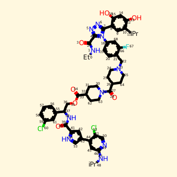 CCNC(=O)c1nnc(-c2cc(C(C)C)c(O)cc2O)n1-c1ccc(CN2CCC(C(=O)N3CCC(C(=O)OCC(NC(=O)c4cc(-c5cc(NC(C)C)ncc5Cl)c[nH]4)c4cccc(Cl)c4)CC3)CC2)c(F)c1